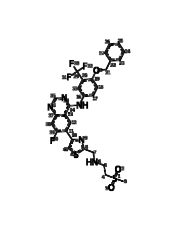 CS(=O)(=O)CCNCc1nc(-c2cc3c(Nc4ccc(OCc5ccccc5)c(C(F)(F)F)c4)ncnc3cc2F)cs1